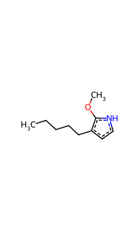 CCCCCc1cc[nH]c1OC